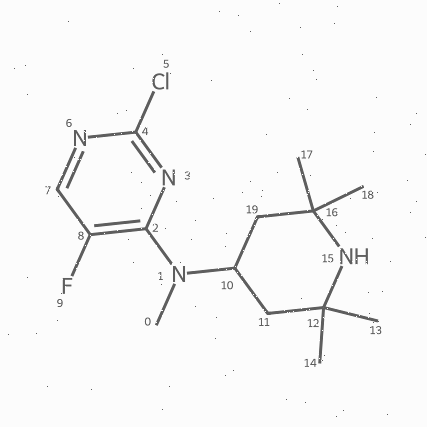 CN(c1nc(Cl)ncc1F)C1CC(C)(C)NC(C)(C)C1